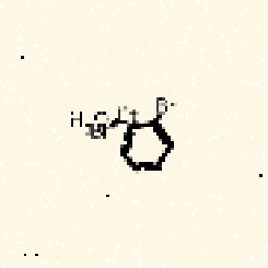 Brc1ccccc1.CCBr.O